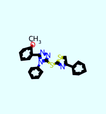 COc1ccccc1-c1nnc(Sc2nc(-c3ccccc3)cs2)n1-c1ccccc1